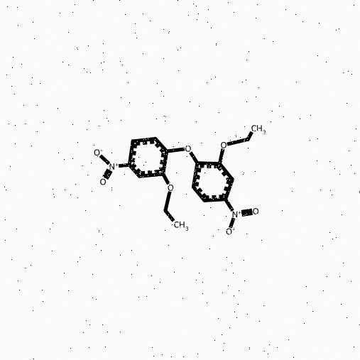 CCOc1cc([N+](=O)[O-])ccc1Oc1ccc([N+](=O)[O-])cc1OCC